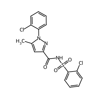 Cc1cc(C(=O)NS(=O)(=O)c2ccccc2Cl)nn1-c1ccccc1Cl